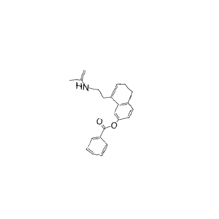 C=C(C)NCCC1=CCCc2ccc(OC(=O)c3ccccc3)cc21